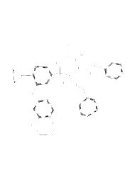 CC[C@H]1OC(OC)(c2ccc(C3CC3)c(Cc3ccc4c(c3)OCCO4)c2)[C@H](OCc2ccccc2)[C@@H](OCc2ccccc2)[C@@H]1C